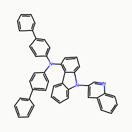 c1ccc(-c2ccc(N(c3ccc(-c4ccccc4)cc3)c3cccc4c3c3ccccc3n4-c3cnc4ccccc4c3)cc2)cc1